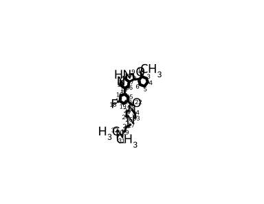 COc1ccccc1C1CNc2ncc(-c3cc(F)cc(C(=O)N4CCN(CCCN(C)C)CC4)c3)cc21